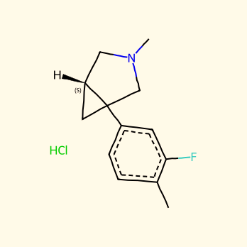 Cc1ccc(C23C[C@@H]2CN(C)C3)cc1F.Cl